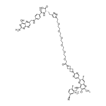 Cc1nc2cc(F)c(-c3cnc(N4CC5(CN(C(=O)COCCOCCOCCOCCOCCOCCn6cc(CC[C@H](NC(=O)c7ccc(NCc8cnc9nc(N)nc(O)c9n8)cc7)C(=O)O)nn6)C5)C4)nc3)nc2c(N[C@H](C)c2cc(C#N)ccc2F)c1Cl